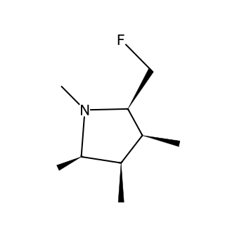 C[C@@H]1[C@H](C)[C@H](CF)N(C)[C@@H]1C